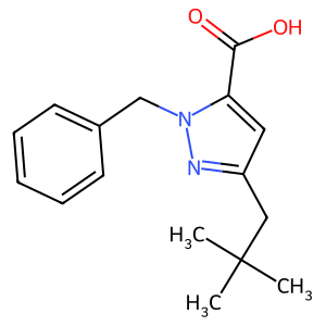 CC(C)(C)Cc1cc(C(=O)O)n(Cc2ccccc2)n1